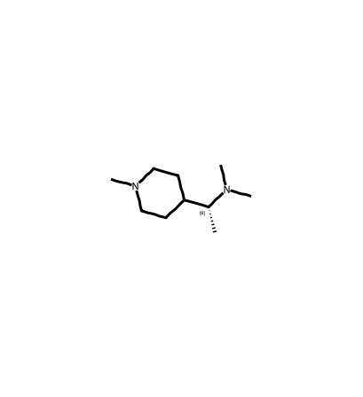 C[C@H](C1CCN(C)CC1)N(C)C